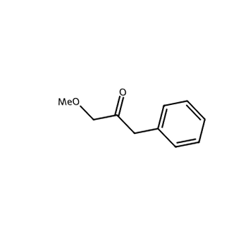 COCC(=O)Cc1ccccc1